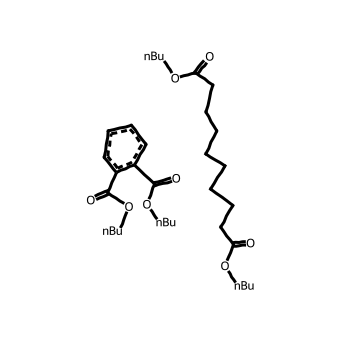 CCCCOC(=O)CCCCCCCCC(=O)OCCCC.CCCCOC(=O)c1ccccc1C(=O)OCCCC